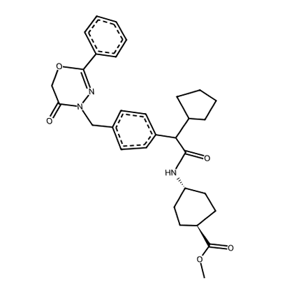 COC(=O)[C@H]1CC[C@H](NC(=O)C(c2ccc(CN3N=C(c4ccccc4)OCC3=O)cc2)C2CCCC2)CC1